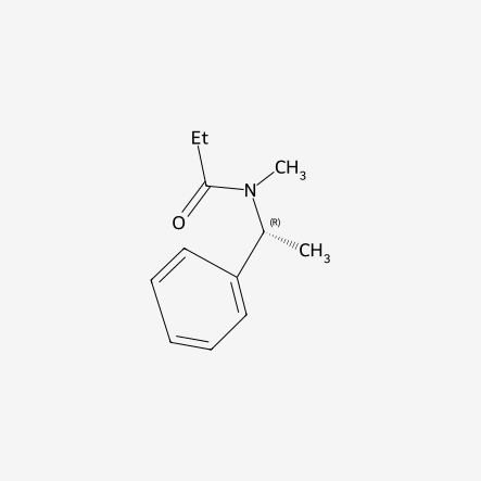 CCC(=O)N(C)[C@H](C)c1ccccc1